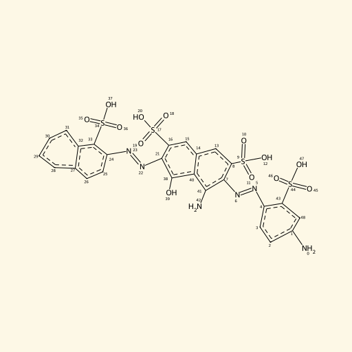 Nc1ccc(N=Nc2c(S(=O)(=O)O)cc3cc(S(=O)(=O)O)c(N=Nc4ccc5ccccc5c4S(=O)(=O)O)c(O)c3c2N)c(S(=O)(=O)O)c1